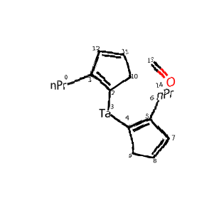 CCCC1=[C]([Ta][C]2=C(CCC)C=CC2)CC=C1.[C]=O